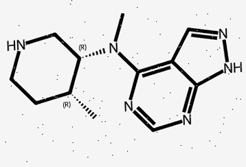 C[C@@H]1CCNC[C@@H]1N(C)c1ncnc2[nH]ncc12